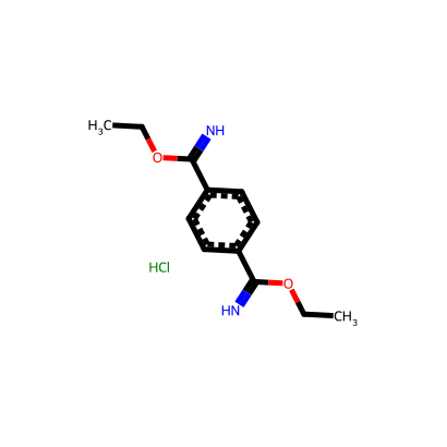 CCOC(=N)c1ccc(C(=N)OCC)cc1.Cl